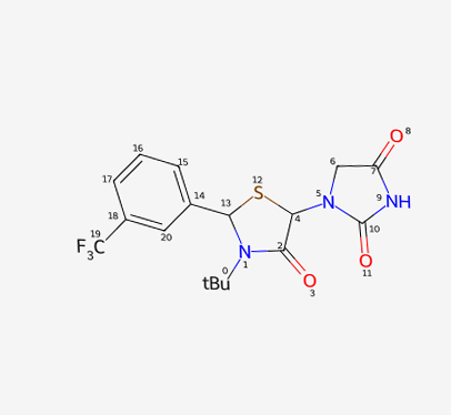 CC(C)(C)N1C(=O)C(N2CC(=O)NC2=O)SC1c1cccc(C(F)(F)F)c1